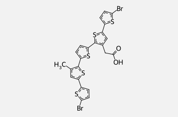 Cc1cc(-c2ccc(Br)s2)sc1-c1ccc(-c2sc(-c3ccc(Br)s3)cc2CC(=O)O)s1